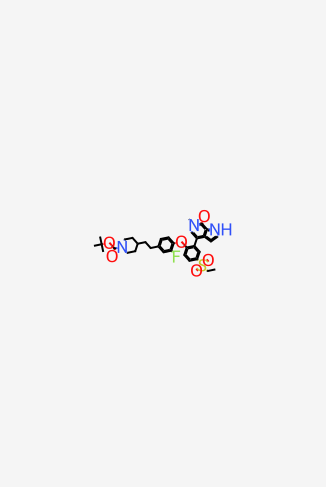 CCS(=O)(=O)c1ccc(Oc2ccc(CCC3CCN(C(=O)OC(C)(C)C)CC3)cc2F)c(-c2cn(C)c(=O)c3[nH]ccc23)c1